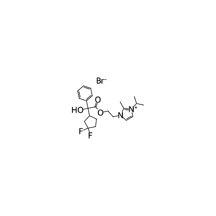 Cc1n(CCOC(=O)C(O)(c2ccccc2)C2CCC(F)(F)C2)cc[n+]1C(C)C.[Br-]